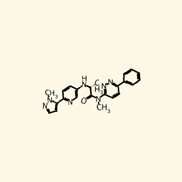 C[C@@H](Nc1ccc(-c2ccnn2C)nc1)C(=O)N(C)c1ccc(-c2ccccc2)nn1